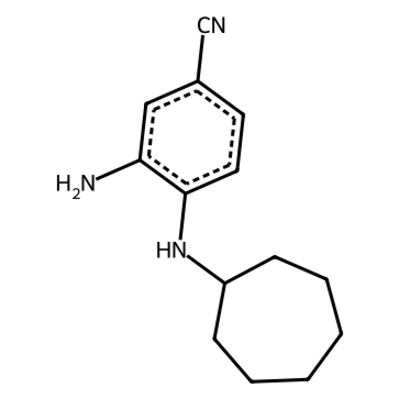 N#Cc1ccc(NC2CCCCCC2)c(N)c1